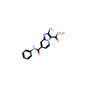 O=C(O)C(=O)c1c(C(F)(F)F)nc2cc(C(=O)Nc3ccccc3)ccn12